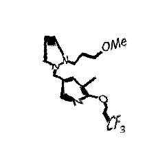 COCCCN1C=CCN1Cc1cnc(OCC(F)(F)F)c(C)c1